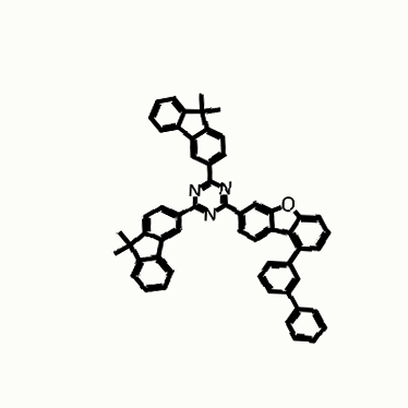 CC1(C)c2ccccc2-c2cc(-c3nc(-c4ccc5c(c4)-c4ccccc4C5(C)C)nc(-c4ccc5c(c4)oc4cccc(-c6cccc(-c7ccccc7)c6)c45)n3)ccc21